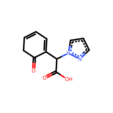 O=C1CC=CC=C1C(C(=O)O)n1cccn1